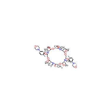 CC(C)C[C@H]1C(=O)O[C@H](C)C(=O)N(C)[C@@H](CC2CC2)C(=O)O[C@H](Cc2ccc(N3CCOCC3)cc2)C(=O)N(C)[C@@H](CC(C)C)C(=O)O[C@H](C)C(=O)N(C)C(CC2CC2)C(=O)O[C@H](Cc2ccc(N3CCOCC3)cc2)C(=O)N1C